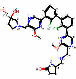 COc1nc(-c2cccc(-c3cccc(-c4cnc(CN5CCC(O)(CO)C5)c(OC)n4)c3Cl)c2Cl)cnc1CNCC1CCC(=O)N1